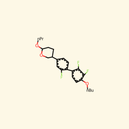 CCCCOc1ccc(-c2ccc(C3CCC(OCCC)OC3)cc2F)c(F)c1F